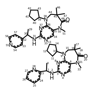 CC(Nc1ncc2c(n1)N(C1CCCC1)CC(C)(C)C(=O)N2C)c1ccccn1.CC(Nc1ncc2c(n1)N(C1CCCC1)CC(C)(C)C(=O)N2C)c1ccncc1